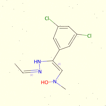 C/C=N\N/C(=C\N(C)O)c1cc(Cl)cc(Cl)c1